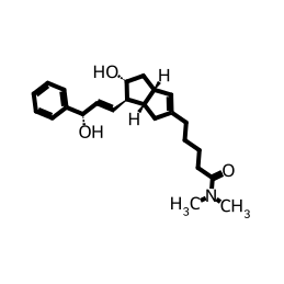 CN(C)C(=O)CCCCC1=C[C@H]2C[C@@H](O)[C@H](/C=C/[C@H](O)c3ccccc3)[C@H]2C1